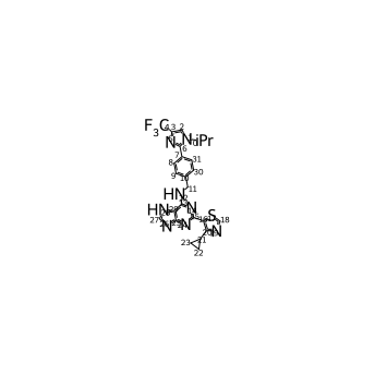 CC(C)n1cc(C(F)(F)F)nc1-c1ccc(CNc2nc(-c3scnc3C3CC3)nc3nc[nH]c23)cc1